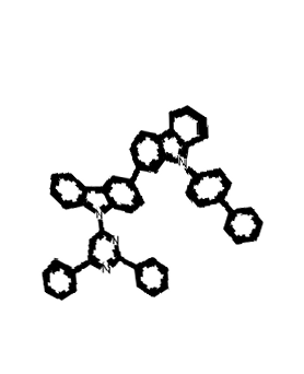 C1=C=Cc2c(c3ccc(-c4ccc5c(c4)c4ccccc4n5-c4cc(-c5ccccc5)nc(-c5ccccc5)n4)cc3n2-c2ccc(-c3ccccc3)cc2)C=1